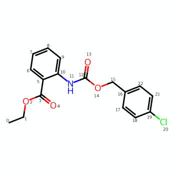 CCOC(=O)c1ccccc1NC(=O)OCc1ccc(Cl)cc1